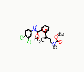 C=C(CCN(CC)C(=O)OC(C)(C)C)c1c(C(=O)Nc2ccc(Cl)c(Cl)c2)c2ccc1o2